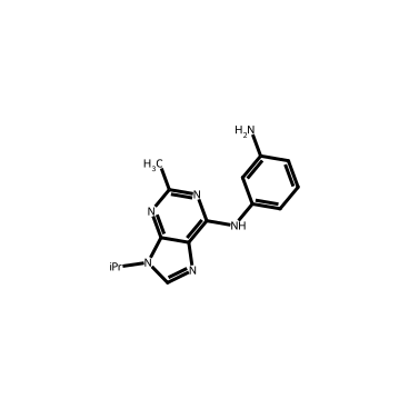 Cc1nc(Nc2cccc(N)c2)c2ncn(C(C)C)c2n1